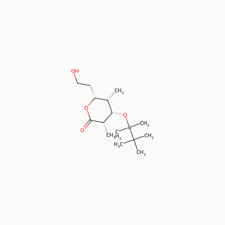 C[C@@H]1[C@H](O[Si](C)(C)C(C)(C)C)[C@H](C)C(=O)O[C@@H]1CCO